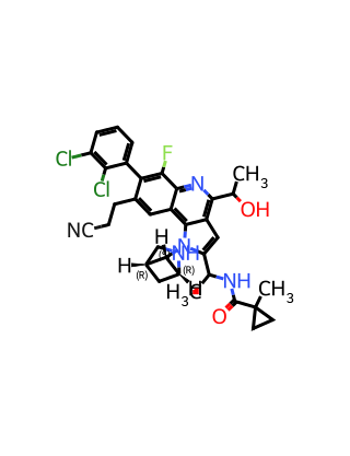 CC(O)c1nc2c(F)c(-c3cccc(Cl)c3Cl)c(CCC#N)cc2c2c1cc(C(C)NC(=O)C1(C)CC1)n2[C@H]1[C@H]2CN[C@@H]1C2